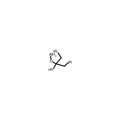 CCCC(CC(C)C)(CC(C)C)[O][AlH2]